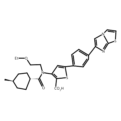 CCOCCN(c1cc(-c2ccc(-c3cn4ccsc4n3)cc2)sc1C(=O)O)C(=O)[C@H]1CC[C@H](C)CC1